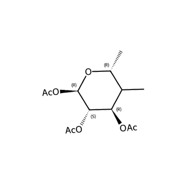 CC(=O)O[C@H]1O[C@H](C)C(C)[C@@H](OC(C)=O)[C@@H]1OC(C)=O